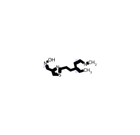 C=N/C=C\C(=C/C)CCc1nc(/C=N\O)cs1